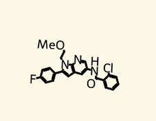 COCCn1c(-c2ccc(F)cc2)cc2cc(NC(=O)c3ccccc3Cl)cnc21